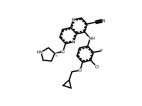 N#Cc1cnc2ccc(O[C@H]3CCNC3)nc2c1Nc1ccc(OCC2CC2)c(Cl)c1F